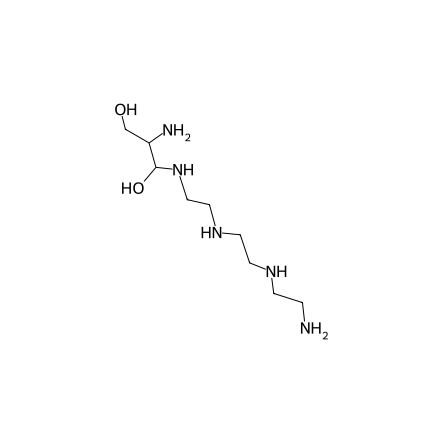 NCCNCCNCCNC(O)C(N)CO